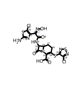 Nc1nc(/C(=N/O)C(=O)NC2C(=O)N3C(C(=O)O)=C(Sc4nsnc4Cl)CCC23)c(Cl)s1